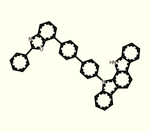 c1ccc(-c2nc3cccc(-c4ccc(-c5ccc(-n6c7ccccc7c7ccc8c9ccccc9[nH]c8c76)cc5)cc4)c3o2)cc1